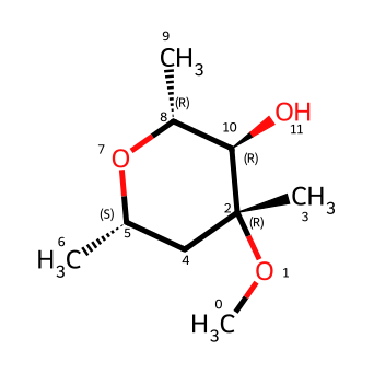 CO[C@]1(C)C[C@H](C)O[C@H](C)[C@H]1O